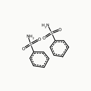 NS(=O)(=O)c1cc[c]cc1.NS(=O)(=O)c1ccccc1